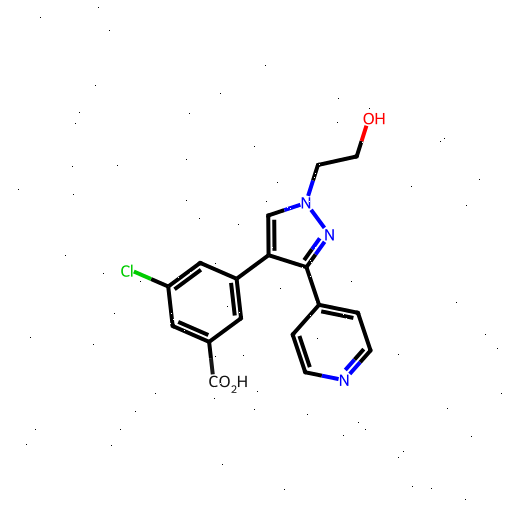 O=C(O)c1cc(Cl)cc(-c2cn(CCO)nc2-c2ccncc2)c1